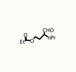 CCCC([C]=O)CCOC(=O)CC